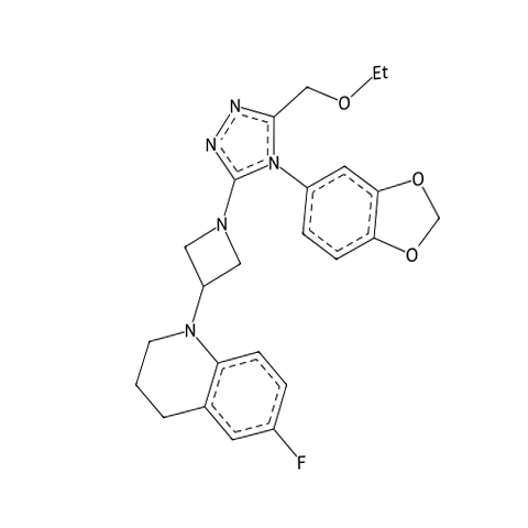 CCOCc1nnc(N2CC(N3CCCc4cc(F)ccc43)C2)n1-c1ccc2c(c1)OCO2